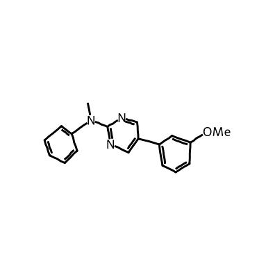 COc1cccc(-c2cnc(N(C)c3ccccc3)nc2)c1